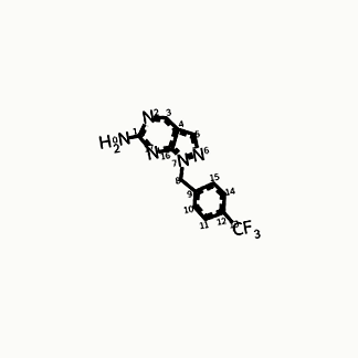 Nc1ncc2cnn(Cc3ccc(C(F)(F)F)cc3)c2n1